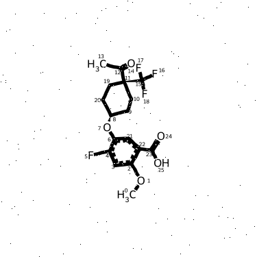 COc1cc(F)c(O[C@H]2CC[C@](C(C)=O)(C(F)(F)F)CC2)cc1C(=O)O